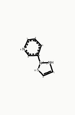 [C]1=CNN(c2cc[c]nc2)S1